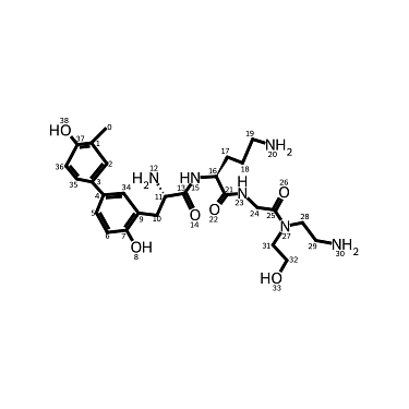 Cc1cc(-c2ccc(O)c(C[C@H](N)C(=O)N[C@@H](CCCN)C(=O)NCC(=O)N(CCN)CCO)c2)ccc1O